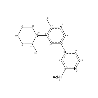 CC(=O)Nc1cc(-c2cnc(C)c(N3CCCCC3C)c2)ccn1